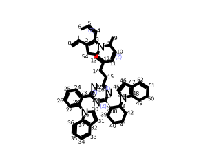 C=CC1=C(/C=C\C)N(C(C)/C=C\C(=C)CC/C=N/C(=N\C(=N/C)c2ccccc2-n2ccc3ccc#cc32)[C@H]2CCCCC2n2ccc3c2CCC=C3)CC1